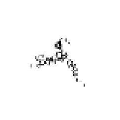 CCCCOCCOc1ccc(-c2ccc3c(c2)C=C(C(=O)Nc2ccc(CN(C)C4CCCOC4)cc2)CCN3Cc2cnn(CC)c2)cc1